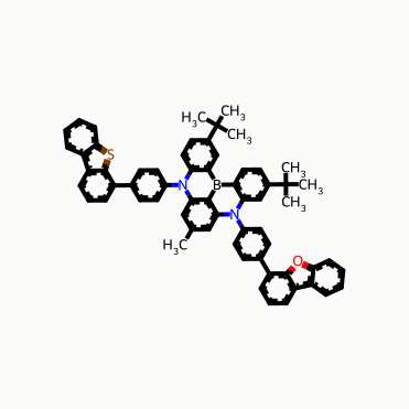 Cc1cc2c3c(c1)N(c1ccc(-c4cccc5c4oc4ccccc45)cc1)c1cc(C(C)(C)C)ccc1B3c1cc(C(C)(C)C)ccc1N2c1ccc(-c2cccc3c2sc2ccccc23)cc1